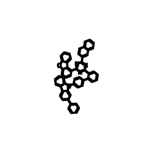 c1ccc(-c2ccc3c4ccccc4n(-c4ccc(-c5ccccc5-c5nc(-c6ccc7ccccc7c6)nc(-c6cccc7oc8ccccc8c67)n5)cc4)c3c2)cc1